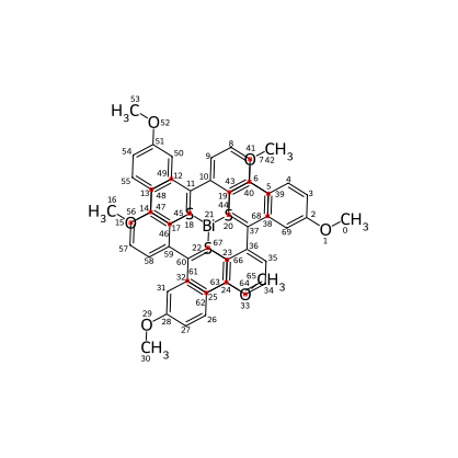 COc1ccc(-c2cccc(-c3ccc(OC)cc3)c2[S][Bi]([S]c2c(-c3ccc(OC)cc3)cccc2-c2ccc(OC)cc2)[S]c2c(-c3ccc(OC)cc3)cccc2-c2ccc(OC)cc2)cc1